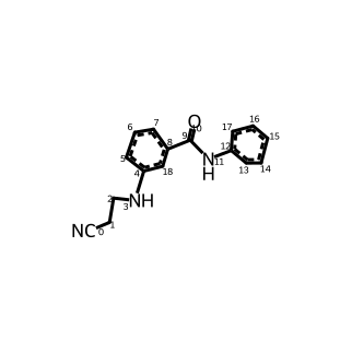 N#CCCNc1cccc(C(=O)Nc2ccccc2)c1